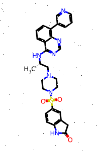 C[C@@H](CN1CCN(S(=O)(=O)c2ccc3c(c2)CC(=O)N3)CC1)Nc1ncnc2c(-c3cccnc3)cccc12